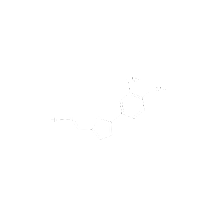 COc1ccc(-c2ccc(C=NO)o2)cc1OC